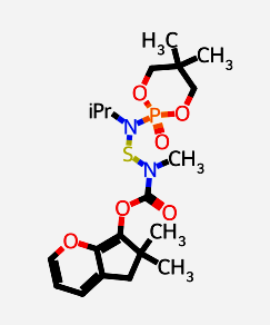 CC(C)N(SN(C)C(=O)OC1=C2OC=CC=C2CC1(C)C)P1(=O)OCC(C)(C)CO1